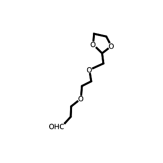 O=CCCOCCOCC1OCCO1